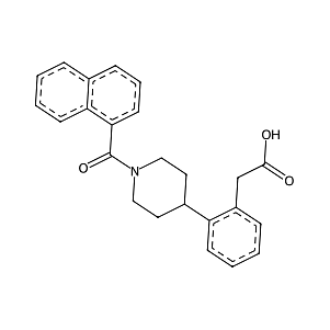 O=C(O)Cc1ccccc1C1CCN(C(=O)c2cccc3ccccc23)CC1